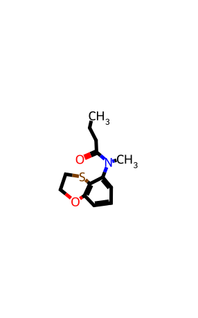 CCCC(=O)N(C)c1cccc2c1SCCO2